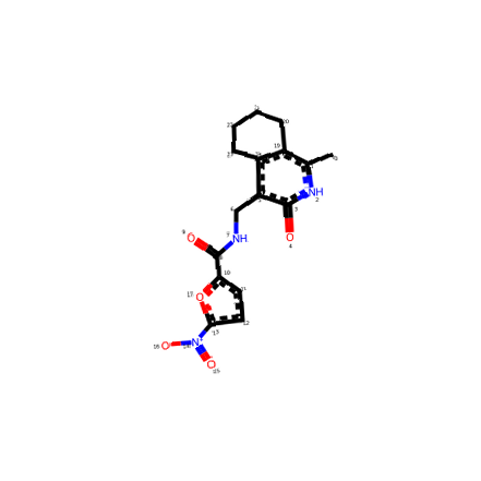 Cc1[nH]c(=O)c(CNC(=O)c2ccc([N+](=O)[O-])o2)c2c1CCCC2